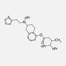 CCCC(CCC)C(C)CC(=O)Oc1cccc2c1CCC(N(CCC)CCc1cccs1)C2